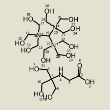 O=C(O)CNC(CO)(CO)CO.OC[N+](CO)(CO)C([N+](CO)(CO)CO)[N+](CO)(CO)CO